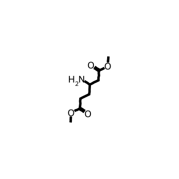 COC(=O)CCC(N)CC(=O)OC